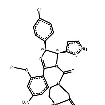 CC(C)Oc1cc([N+](=O)[O-])ccc1C1=N[C@@H](c2ccc(Cl)cc2)[C@@H](c2cc[nH]n2)N1C(=O)N1CCNC(=O)C1